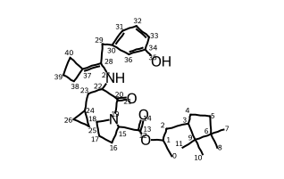 CC(CC1CCC(C)(C)C1(C)C)OC(=O)C1CCCN1C(=O)C(CC1CC1)NC(Cc1cccc(O)c1)=C1CCC1